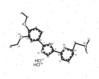 CCOc1ccc(-c2nc(-c3cccc(CN(C)C)n3)cs2)cc1OCC.Cl.Cl